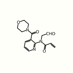 C=CC(=O)N(C[C]=O)c1ncccc1C(=O)N1CCOCC1